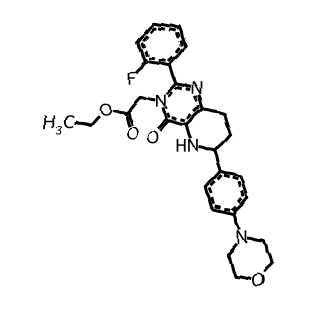 CCOC(=O)Cn1c(-c2ccccc2F)nc2c(c1=O)NC(c1ccc(N3CCOCC3)cc1)CC2